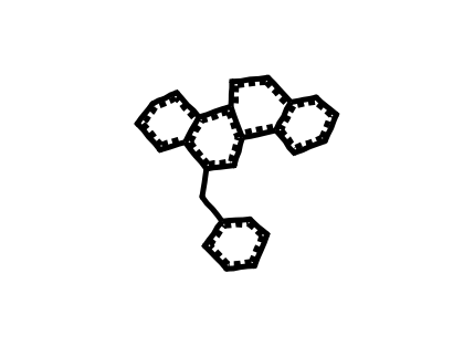 c1ccc(Cc2cc3c4ccccc4ccc3c3ccccc23)cc1